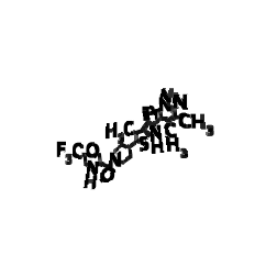 Cc1c(-c2[nH]c3sc(C4CCN(C(=O)C5COC(C(F)(F)F)CN5)CC4)c(C)c3c2C(C)C)cn2ncnc2c1C